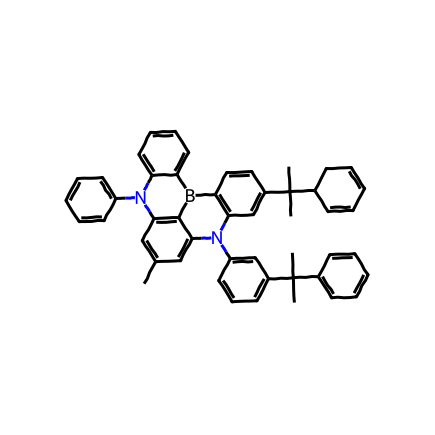 Cc1cc2c3c(c1)N(c1cccc(C(C)(C)c4ccccc4)c1)c1cc(C(C)(C)C4C=CC=CC4)ccc1B3c1ccccc1N2c1ccccc1